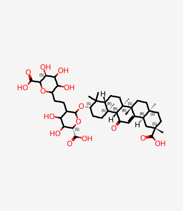 CC1(C)[C@@H](OC2O[C@H](C(=O)O)C(O)C(O)C2CCC2OC(C(=O)O)[C@@H](O)C(O)C2O)CC[C@]2(C)[C@H]3C(=O)C=C4[C@@H]5C[C@@](C)(C(=O)O)CC[C@]5(C)CC[C@@]4(C)[C@]3(C)CC[C@@H]12